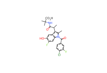 Cc1c(C(C)C(=O)NC(C)(C)C(=O)O)c2cc(O)c(F)cc2n1C(=O)c1ccc(Cl)c(F)c1